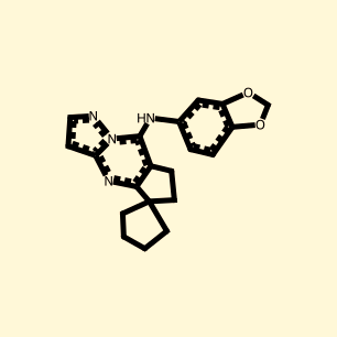 c1cc2nc3c(c(Nc4ccc5c(c4)OCO5)n2n1)CCC31CCCC1